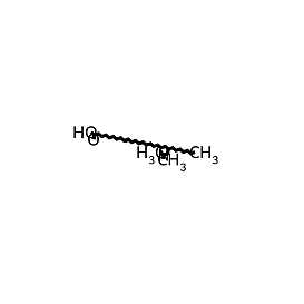 CCCCCCCC(CCCCCCCCCCC=CCCCCCCCC(=O)O)CN(C)C